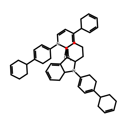 C=C/C=C(\C=C/N(C1=CC=C(C2CC=CCC2)CC1)C1=C2C3=CC=CCC3N(C3=CC=C(C4CC=CCC4)CC3)C2CCC1)C1C=CC=CC1